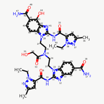 CCn1nc(C)cc1C(=O)Nc1nc2cc(C(N)=O)ccc2n1CCN(CCn1c(NC(=O)c2cc(C)nn2CC)nc2c(O)c(C(N)=O)ccc21)C(=O)CO